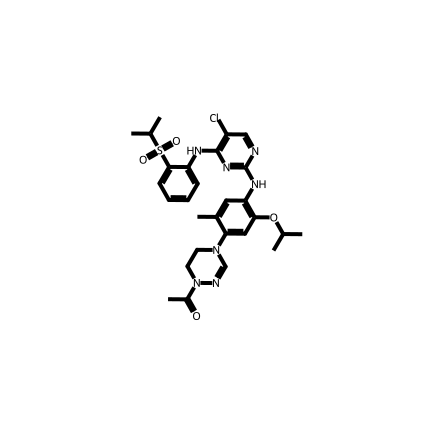 CC(=O)N1CCN(c2cc(OC(C)C)c(Nc3ncc(Cl)c(Nc4ccccc4S(=O)(=O)C(C)C)n3)cc2C)C=N1